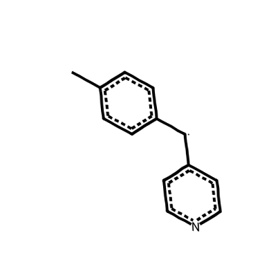 Cc1ccc([CH]c2ccncc2)cc1